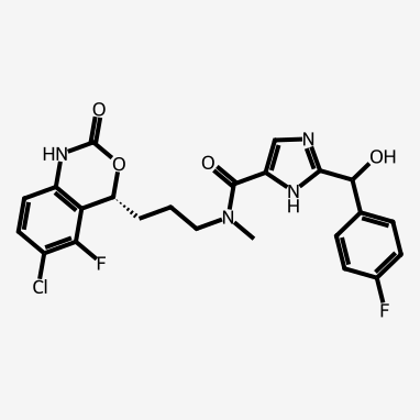 CN(CCC[C@H]1OC(=O)Nc2ccc(Cl)c(F)c21)C(=O)c1cnc(C(O)c2ccc(F)cc2)[nH]1